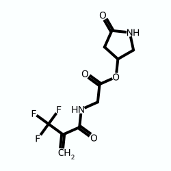 C=C(C(=O)NCC(=O)OC1CNC(=O)C1)C(F)(F)F